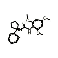 COc1cc(OC)c(NC(=O)NC2(c3ccccc3)CCCC2)c(OC)c1